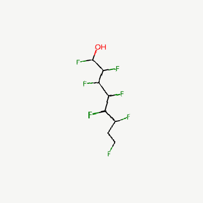 OC(F)C(F)C(F)C(F)C(F)C(F)CCF